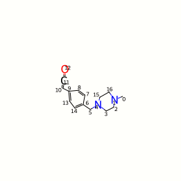 CN1CCN(Cc2ccc(C=C=O)cc2)CC1